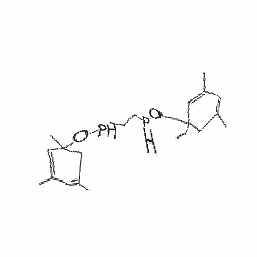 CC1=CC(C)(OPCCCPOC2(C)C=C(C)C=C(C)C2)CC(C)=C1